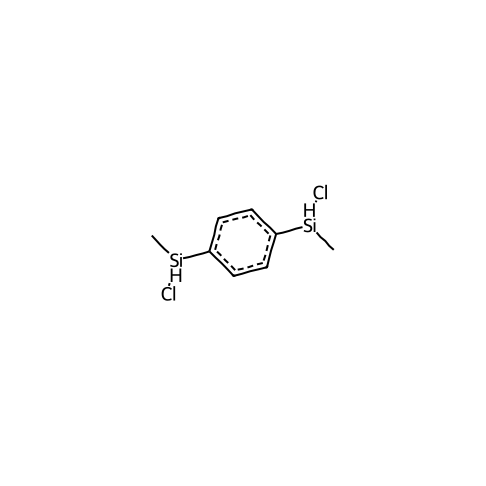 C[SiH](Cl)c1ccc([SiH](C)Cl)cc1